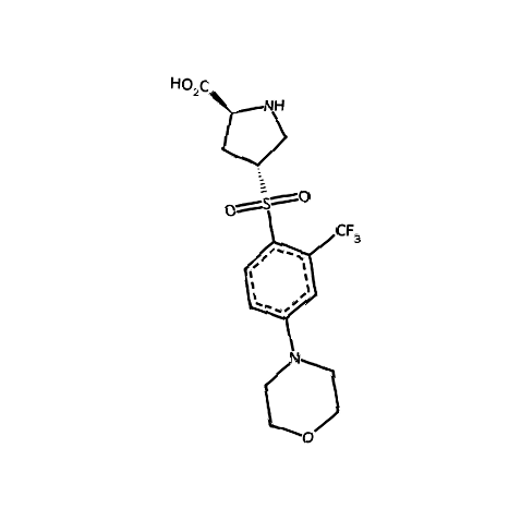 O=C(O)[C@@H]1C[C@@H](S(=O)(=O)c2ccc(N3CCOCC3)cc2C(F)(F)F)CN1